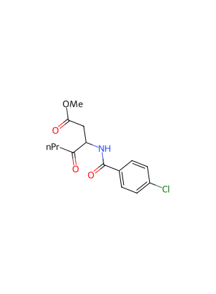 CCCC(=O)C(CC(=O)OC)NC(=O)c1ccc(Cl)cc1